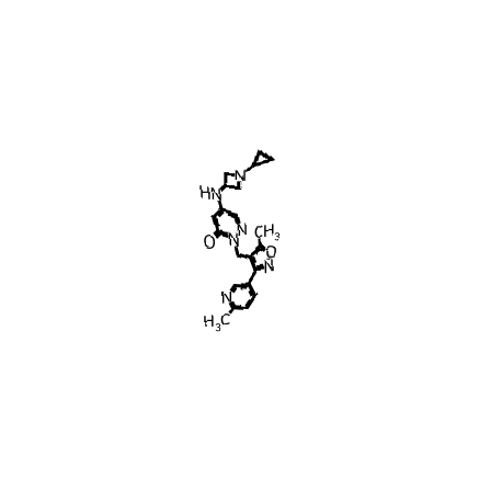 Cc1ccc(-c2noc(C)c2Cn2ncc(NC3CN(C4CC4)C3)cc2=O)cn1